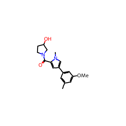 COc1cc(C)cc(-c2cc(C(=O)N3CCC(O)C3)n(C)c2)c1